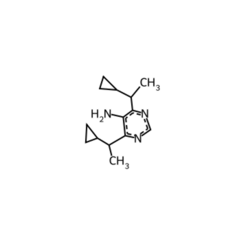 CC(c1ncnc(C(C)C2CC2)c1N)C1CC1